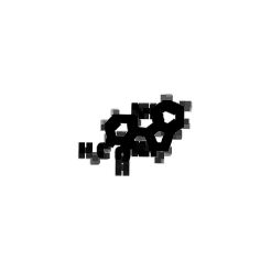 CC1C=CC(N)=C(C2CCc3ccccc32)C1(N)O